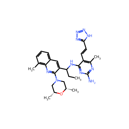 CCC(Nc1nc(N)nc(C)c1C=Cc1nnn[nH]1)c1cc2cccc(C)c2nc1N1C[C@@H](C)O[C@@H](C)C1